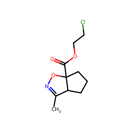 CC1=NOC2(C(=O)OCCCl)CCCC12